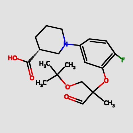 CC(C)(C)OCC(C)(C=O)Oc1cc(N2CCC[C@@H](C(=O)O)C2)ccc1F